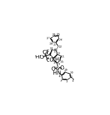 Cc1ccc(NS(=O)(=O)c2ccc3c(c2)c(C(O)(C(=O)O)C(F)(F)F)cn3Cc2ccccc2)cc1